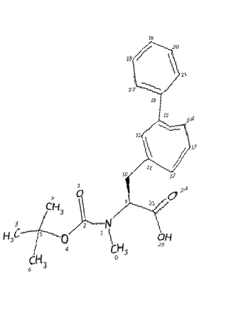 CN(C(=O)OC(C)(C)C)[C@@H](Cc1cccc(-c2ccccc2)c1)C(=O)O